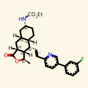 CCOC(=O)N[C@@H]1CC[C@H]2[C@@H](C1)C[C@H]1C(=O)O[C@H](C)[C@H]1[C@H]2/C=C/c1ccc(-c2cccc(F)c2)cn1